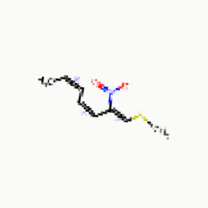 C\C=C/C=C\C(=C\SC)[N+](=O)[O-]